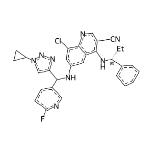 CC[C@@H](Nc1c(C#N)cnc2c(Cl)cc(NC(c3ccc(F)nc3)c3cn(C4CC4)nn3)cc12)c1ccccc1